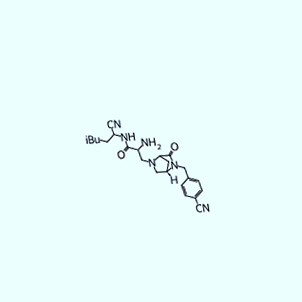 CCC(C)CC(C#N)NC(=O)C(N)CN1C[C@@H]2CC1C(=O)N2Cc1ccc(C#N)cc1